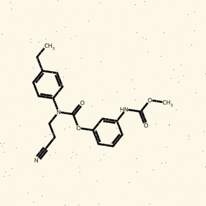 CCc1ccc(N(CCC#N)C(=O)Oc2cccc(NC(=O)OC)c2)cc1